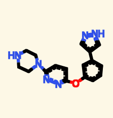 c1cc(Oc2ccc(N3CCNCC3)nn2)cc(-c2cn[nH]c2)c1